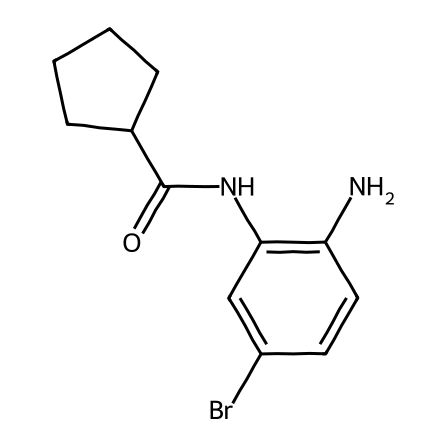 Nc1ccc(Br)cc1NC(=O)C1CCCC1